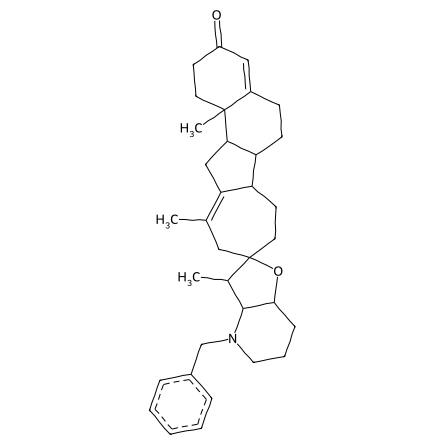 CC1=C2CC3C(CCC4=CC(=O)CCC43C)C2CCC2(C1)OC1CCCN(Cc3ccccc3)C1C2C